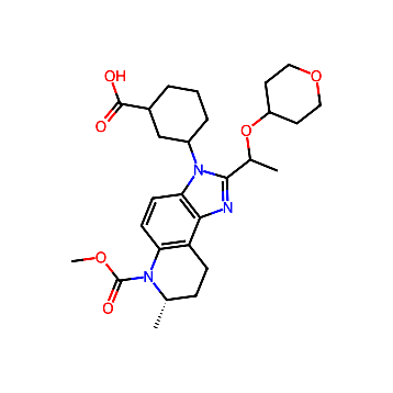 COC(=O)N1c2ccc3c(nc(C(C)OC4CCOCC4)n3C3CCCC(C(=O)O)C3)c2CC[C@@H]1C